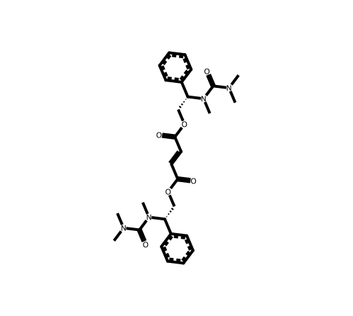 CN(C)C(=O)N(C)[C@H](COC(=O)/C=C/C(=O)OC[C@H](c1ccccc1)N(C)C(=O)N(C)C)c1ccccc1